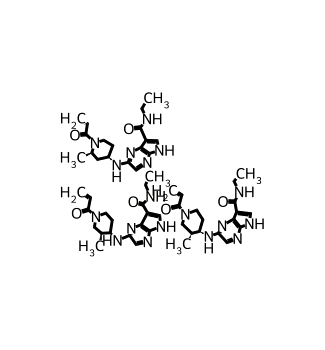 C=CC(=O)N1CC[C@@H](Nc2cnc3[nH]cc(C(=O)NCC)c3n2)[C@@H](C)C1.C=CC(=O)N1CC[C@H](Nc2cnc3[nH]cc(C(=O)NCC)c3n2)C[C@H]1C.C=CC(=O)N1CC[C@H](Nc2cnc3[nH]cc(C(=O)NCC)c3n2)[C@H](C)C1